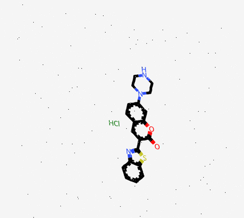 Cl.O=c1oc2cc(N3CCNCC3)ccc2cc1-c1nc2ccccc2s1